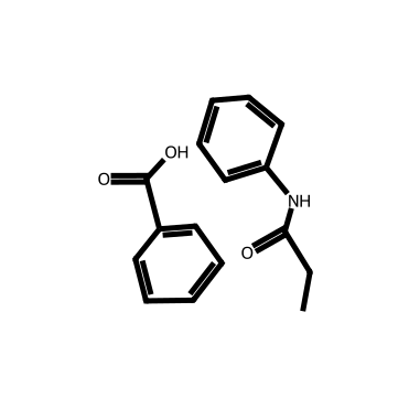 CCC(=O)Nc1ccccc1.O=C(O)c1ccccc1